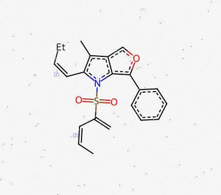 C=C(/C=C\C)S(=O)(=O)n1c(/C=C\CC)c(C)c2coc(-c3ccccc3)c21